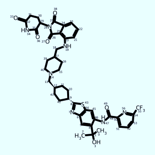 CC(C)(O)c1cc2nc([C@H]3CC[C@H](CN4CCC(CNc5cccc6c5C(=O)N(C5CCC(=O)NC5=O)C6=O)CC4)CC3)sc2cc1NC(=O)c1cccc(C(F)(F)F)n1